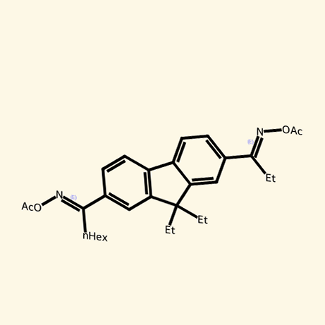 CCCCCC/C(=N\OC(C)=O)c1ccc2c(c1)C(CC)(CC)c1cc(/C(CC)=N/OC(C)=O)ccc1-2